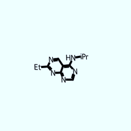 CCc1ncc2c(NC(C)C)ncnc2n1